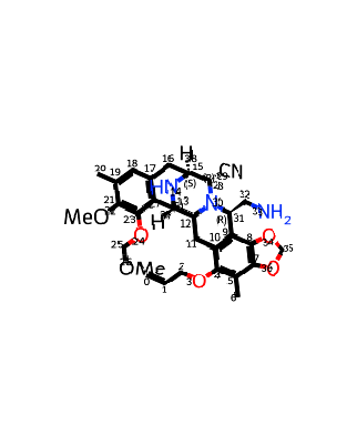 C=CCOc1c(C)c2c(c3c1CC1[C@H]4N[C@@H](Cc5cc(C)c(OC)c(OCOC)c54)[C@H](C#N)N1[C@H]3CN)OCO2